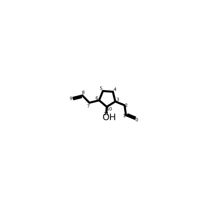 C=CCC1CCC(CC=C)C1O